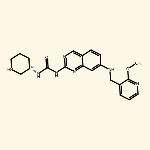 COc1ncccc1CNc1ccc2cnc(NC(=O)N[C@H]3CCCNC3)nc2c1